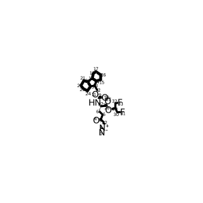 [N-]=[N+]=CC(=O)CC[C@H](NC(=O)OCC1c2ccccc2-c2ccccc21)C(=O)OC(CF)CF